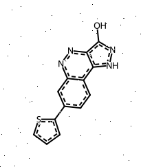 Oc1n[nH]c2c1nnc1cc(-c3cccs3)ccc12